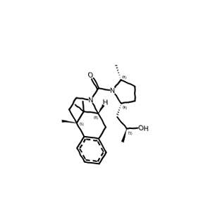 C[C@H](O)C[C@H]1CC[C@@H](C)N1C(=O)N1CC[C@@]2(C)c3ccccc3C[C@@H]1C2(C)C